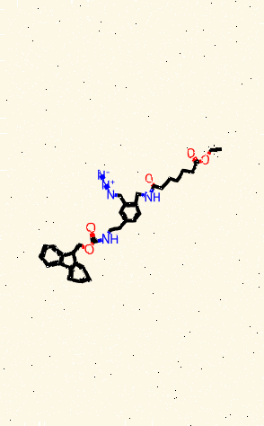 CCOC(=O)CCCCCC(=O)NCc1ccc(CCNC(=O)OCC2c3ccccc3-c3ccccc32)cc1CN=[N+]=[N-]